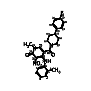 Cc1ccccc1Nc1c(C(=O)N2CCC(c3ccc(F)cc3)CC2)cn(C)c(=O)c1[N+](=O)[O-]